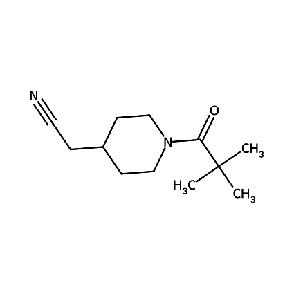 CC(C)(C)C(=O)N1CCC(CC#N)CC1